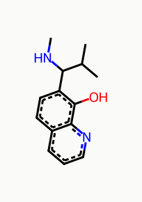 CNC(c1ccc2cccnc2c1O)C(C)C